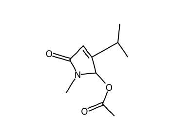 CC(=O)OC1C(C(C)C)=CC(=O)N1C